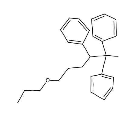 CCCOCCCC(c1ccccc1)C(C)(c1ccccc1)c1ccccc1